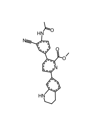 COC(=O)c1nc(-c2ccc3c(c2)NCCC3)ccc1-c1ccc(NC(C)=O)c(C#N)c1